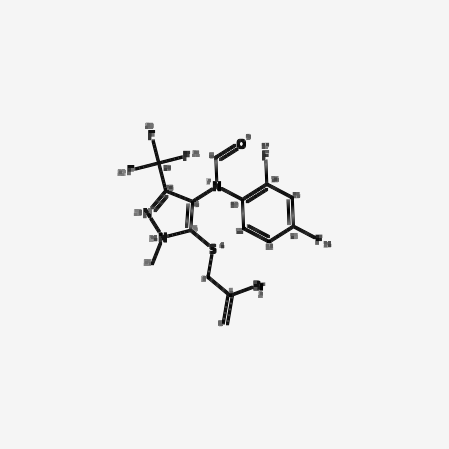 C=C(Br)CSc1c(N(C=O)c2ccc(F)cc2F)c(C(F)(F)F)nn1C